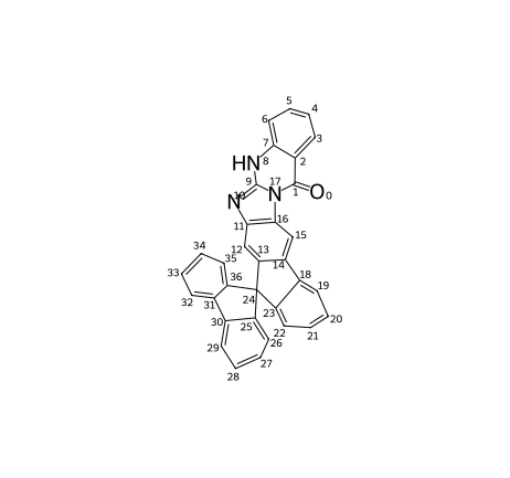 O=c1c2ccccc2[nH]c2nc3cc4c(cc3n12)-c1ccccc1C41c2ccccc2-c2ccccc21